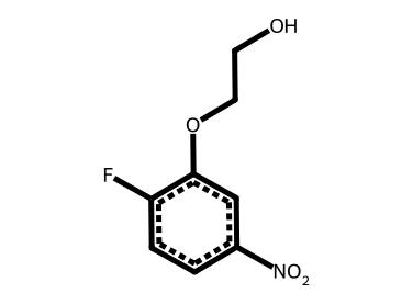 O=[N+]([O-])c1ccc(F)c(OCCO)c1